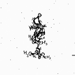 CCOP(=O)(CCSC(=O)[C@@]1(O)[C@H](C)C[C@H]2[C@@H]3C[C@H](F)C4=CC(=O)C=C[C@]4(C)[C@@]3(F)[C@@H](O)C[C@@]21C)OCC